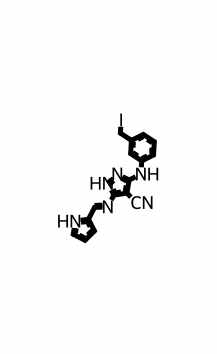 N#Cc1c(Nc2cccc(CI)c2)n[nH]c1/N=C/c1ccc[nH]1